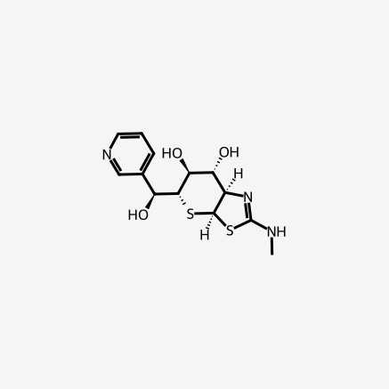 CNC1=N[C@H]2[C@@H](S1)S[C@H]([C@@H](O)c1cccnc1)[C@@H](O)[C@@H]2O